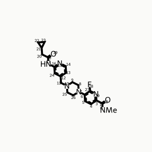 CNC(=O)c1ccc(N2CCN(Cc3ccnc(NC(=O)CC4CC4)c3)CC2)c(F)n1